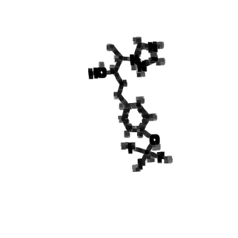 CC(C(O)CCc1ccc(OC(F)(F)F)cc1)n1cncn1